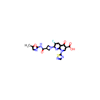 Cc1cnc(NC(=O)C2CN(c3nc4c(cc3F)c(=O)c(C(=O)O)cn4-c3ncns3)C2)o1